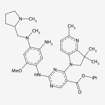 COc1cc(N(C)CC2CCCN2C)c(N)cc1Nc1ncc(C(=O)OC(C)C)c(N2CC(C)(C)c3nc(C)ccc32)n1